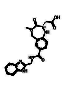 CN1Cc2cc(C(=O)NCc3nc4ccccc4[nH]3)ccc2N[C@@H](CC(=O)O)C1=O